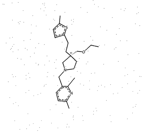 CCOC[C@]1(CCc2ccc(C)s2)CCN(Cc2ccc(C)nc2C)C1